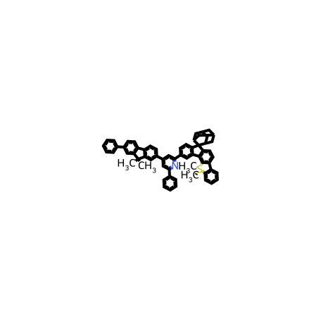 CC1(C)c2cc(-c3ccccc3)ccc2-c2ccc(-c3cc(-c4ccccc4)nc(-c4ccc5c(c4)-c4c(ccc6c4S(C)(C)c4ccccc4-6)C54C5CC6CC(C5)CC4C6)c3)cc21